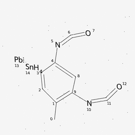 Cc1ccc(N=C=O)cc1N=C=O.[Pb].[SnH4]